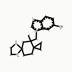 CC1(Cn2cnc3ccc(C#N)cc32)CC2(CCC13CC3)OCCO2